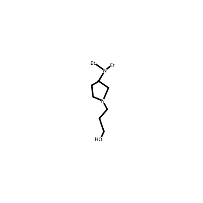 CCN(CC)C1CCN(CCCO)C1